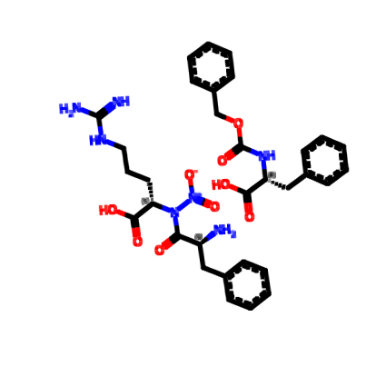 N=C(N)NCCC[C@@H](C(=O)O)N(C(=O)[C@@H](N)Cc1ccccc1)[N+](=O)[O-].O=C(N[C@H](Cc1ccccc1)C(=O)O)OCc1ccccc1